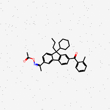 CCCC1(C2CCCCC2)c2ccc(/C(C)=N\OC(C)=O)cc2-c2ccc(C(=O)c3ccccc3C)cc21